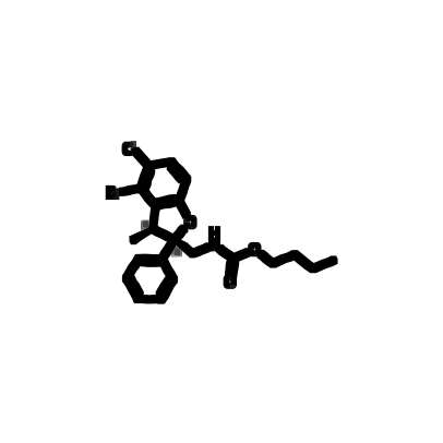 CCCCOC(=O)NC[C@]1(c2ccccc2)Oc2ccc(Cl)c(Br)c2[C@@H]1C